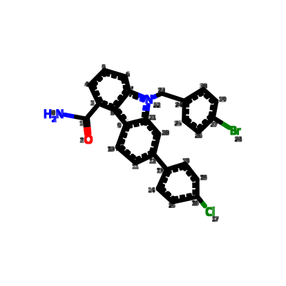 NC(=O)c1cccc2c1c1[c]cc(-c3ccc(Cl)cc3)cc1n2Cc1ccc(Br)cc1